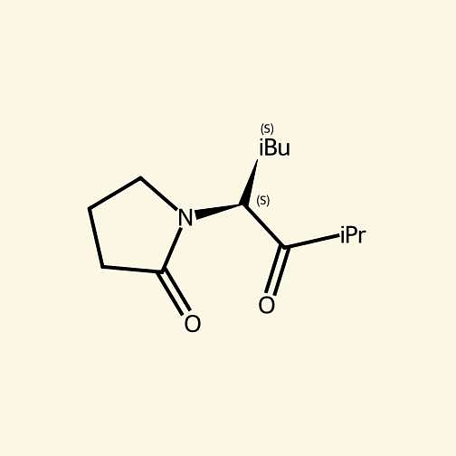 CC[C@H](C)[C@@H](C(=O)C(C)C)N1CCCC1=O